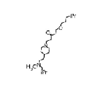 CC(C)CCCOCCC(=O)CCN1CCC(CCN(C)CC(C)C)CC1